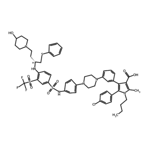 CCCCn1c(C)c(C(=O)O)c(-c2cccc(N3CCN(c4ccc(NS(=O)(=O)c5ccc(N[C@H](CCN6CCC(O)CC6)CSc6ccccc6)c(S(=O)(=O)C(F)(F)F)c5)cc4)CC3)c2)c1-c1ccc(Cl)cc1